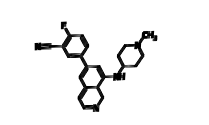 CN1CCC(NC2=CC(c3ccc(F)c(C#N)c3)=CC3=CC=NCC32)CC1